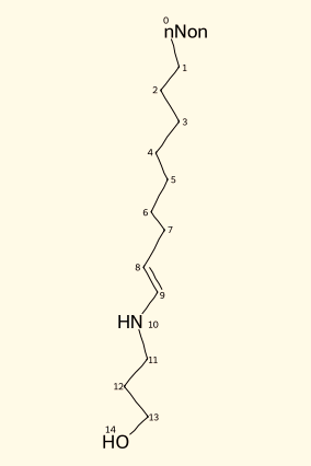 CCCCCCCCCCCCCCCCC=CNCCCO